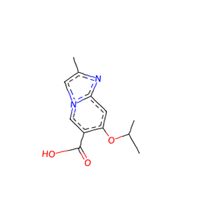 Cc1cn2cc(C(=O)O)c(OC(C)C)cc2n1